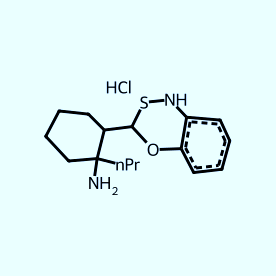 CCCC1(N)CCCCC1C1Oc2ccccc2NS1.Cl